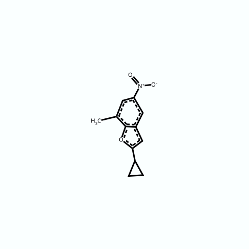 Cc1cc([N+](=O)[O-])cc2cc(C3CC3)oc12